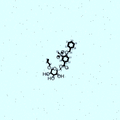 C=CCO[C@@H]1O[C@H](COC(=O)c2ccc(OCc3ccccc3)c(S(C)(=O)=O)c2)[C@@H](O)[C@H](O)[C@H]1O